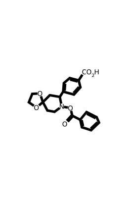 O=C(O)c1ccc(C2CC3(CCN2OC(=O)c2ccccc2)OCCO3)cc1